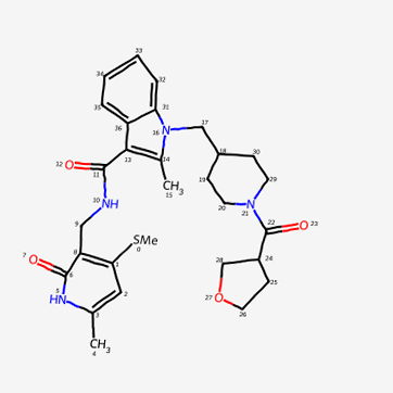 CSc1cc(C)[nH]c(=O)c1CNC(=O)c1c(C)n(CC2CCN(C(=O)C3CCOC3)CC2)c2ccccc12